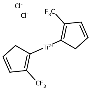 FC(F)(F)C1=[C]([Ti+2][C]2=C(C(F)(F)F)C=CC2)CC=C1.[Cl-].[Cl-]